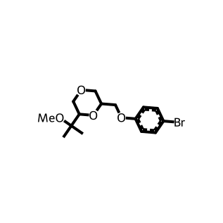 COC(C)(C)C1COCC(COc2ccc(Br)cc2)O1